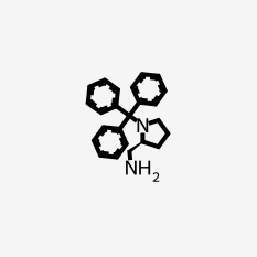 NC[C@@H]1CCCN1C(c1ccccc1)(c1ccccc1)c1ccccc1